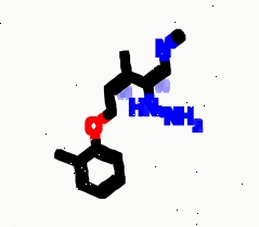 C=N/C=C(NN)\C(C)=C/COc1ccccc1C